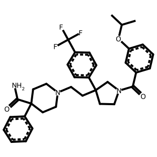 CC(C)Oc1cccc(C(=O)N2CCC(CCN3CCC(C(N)=O)(c4ccccc4)CC3)(c3ccc(C(F)(F)F)cc3)C2)c1